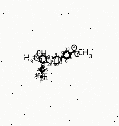 COC(=O)c1ccc(N2CCN(CC3=C(C45CC(C(F)(F)F)(C4)C5)CC(C)(C)CC3)CC2)cc1